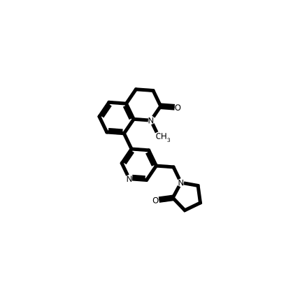 CN1C(=O)CCc2cccc(-c3cncc(CN4CCCC4=O)c3)c21